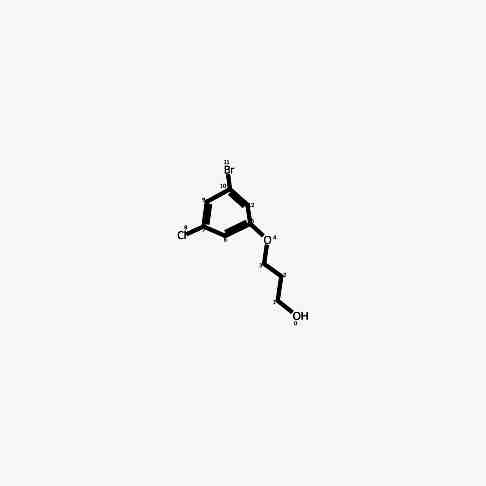 OCCCOc1cc(Cl)cc(Br)c1